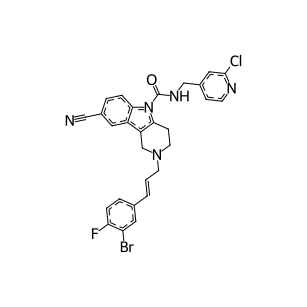 N#Cc1ccc2c(c1)c1c(n2C(=O)NCc2ccnc(Cl)c2)CCN(CC=Cc2ccc(F)c(Br)c2)C1